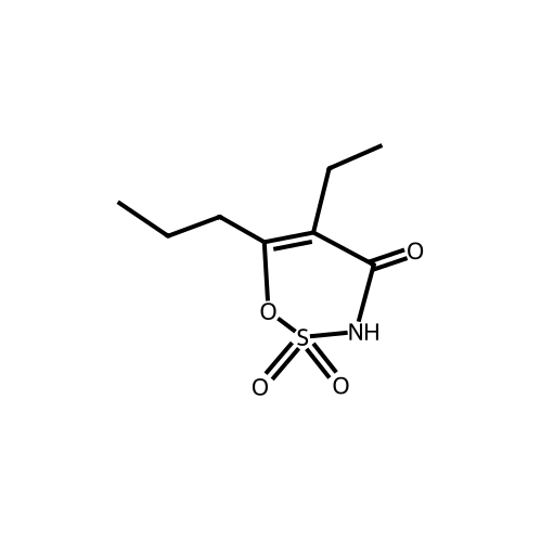 CCCC1=C(CC)C(=O)NS(=O)(=O)O1